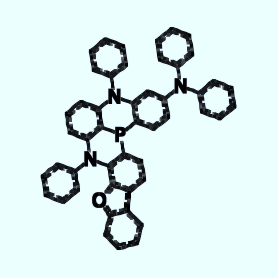 c1ccc(N(c2ccccc2)c2ccc3c(c2)N(c2ccccc2)c2cccc4c2P3c2ccc3c(oc5ccccc53)c2N4c2ccccc2)cc1